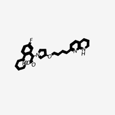 O=C(O)[C@H](c1cc(F)ccc1C1CCCCO1)N1CC[C@@H](OCCCCc2ccc3c(n2)NCCC3)C1